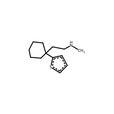 CNCCC1(c2cccs2)CCCCC1